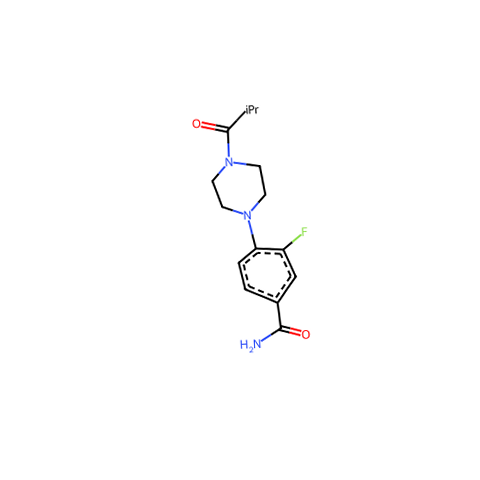 CC(C)C(=O)N1CCN(c2ccc(C(N)=O)cc2F)CC1